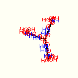 CC(=O)NC1C(OCCCCC(=O)CNCCCNC(=O)CCOCC(C)(COCCC(=O)NCCCNC(=O)CCCCOC2OC(CO)C(O)C(O)C2NC(C)=O)COCCC(=O)NCCCNC(=O)CCCCOC2OC(CO)C(O)C(O)C2NC(C)=O)OC(CO)C(O)C1O